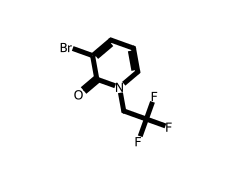 O=c1c(Br)cccn1CC(F)(F)F